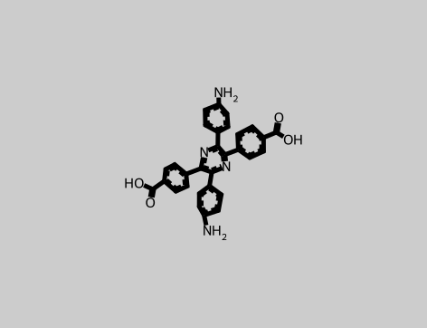 Nc1ccc(-c2nc(-c3ccc(C(=O)O)cc3)c(-c3ccc(N)cc3)nc2-c2ccc(C(=O)O)cc2)cc1